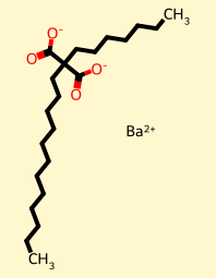 CCCCCCCCCCCCC(CCCCCCC)(C(=O)[O-])C(=O)[O-].[Ba+2]